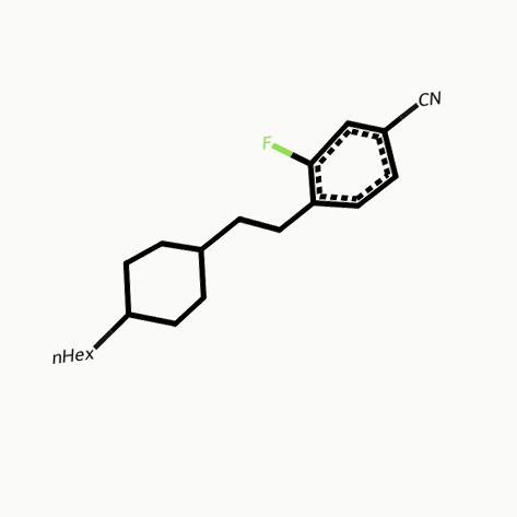 CCCCCCC1CCC(CCc2ccc(C#N)cc2F)CC1